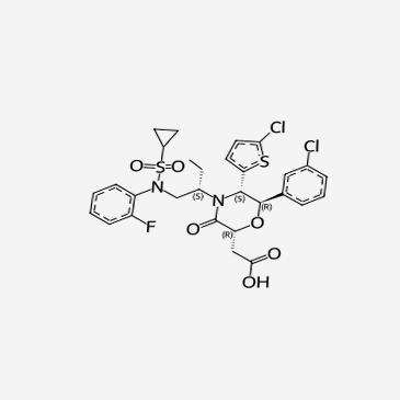 CC[C@@H](CN(c1ccccc1F)S(=O)(=O)C1CC1)N1C(=O)[C@@H](CC(=O)O)O[C@H](c2cccc(Cl)c2)[C@H]1c1ccc(Cl)s1